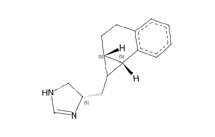 C1=N[C@@H](CC2[C@H]3c4ccccc4CC[C@@H]23)CN1